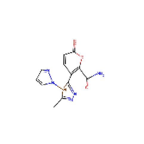 CC1=NN=C(c2ccc(=O)oc2C(N)=O)[SH]1n1cccn1